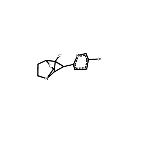 ClC12C3CCN(CC3)C1C2c1ccc(Br)cn1